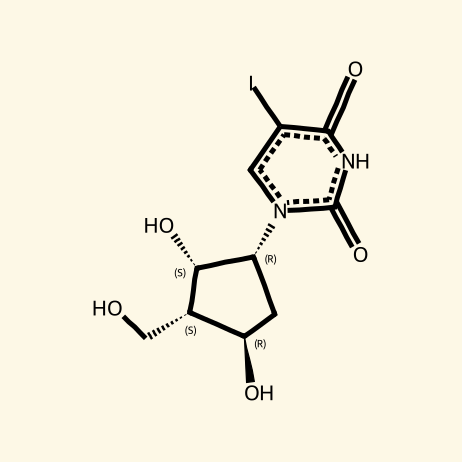 O=c1[nH]c(=O)n([C@@H]2C[C@@H](O)[C@H](CO)[C@@H]2O)cc1I